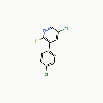 Fc1ncc(Cl)cc1-c1ccc(Cl)cc1